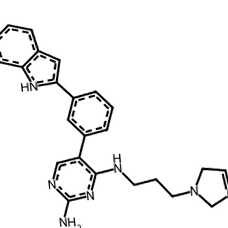 Nc1ncc(-c2cccc(-c3cc4ccccc4[nH]3)c2)c(NCCCN2CC=NC2)n1